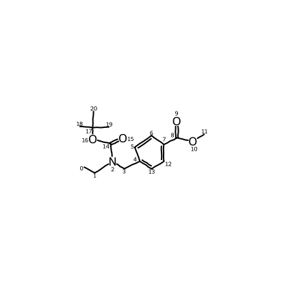 CCN(Cc1ccc(C(=O)OC)cc1)C(=O)OC(C)(C)C